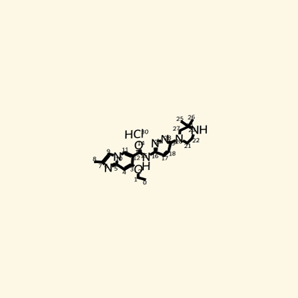 CCOc1cc2nc(C)cn2cc1C(=O)Nc1ccc(N2CCNC(C)(C)C2)nn1.Cl